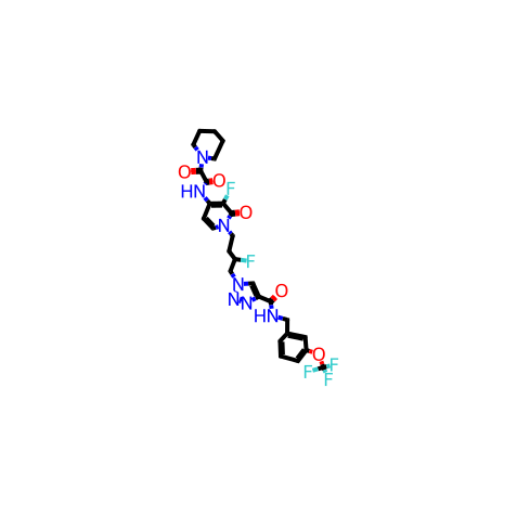 O=C(Nc1ccn(CCC(F)Cn2cc(C(=O)NCc3cccc(OC(F)(F)F)c3)nn2)c(=O)c1F)C(=O)N1CCCCC1